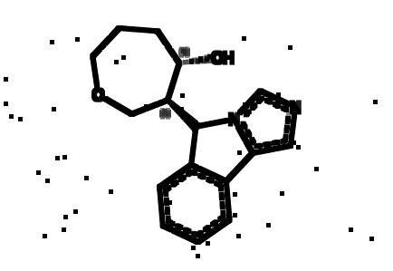 O[C@H]1CCCOC[C@@H]1C1c2ccccc2-c2cncn21